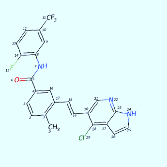 Cc1ccc(C(=O)Nc2cc(C(F)(F)F)ccc2F)cc1C=Cc1cnc2[nH]ccc2c1Cl